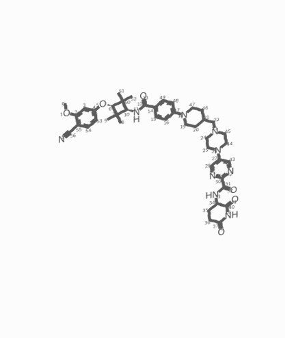 COc1cc(O[C@H]2C(C)(C)[C@H](NC(=O)c3ccc(N4CCC(CN5CCN(c6cnc(C(=O)NC7CCC(=O)NC7=O)nc6)CC5)CC4)cc3)C2(C)C)ccc1C#N